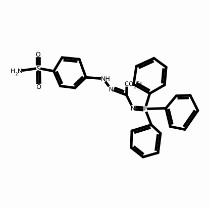 CCOC(=O)/C(N=P(c1ccccc1)(c1ccccc1)c1ccccc1)=N\Nc1ccc(S(N)(=O)=O)cc1